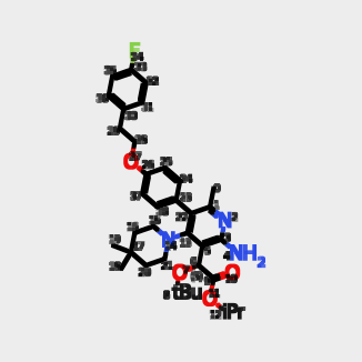 Cc1nc(N)c([C@H](OC(C)(C)C)C(=O)OC(C)C)c(N2CCC(C)(C)CC2)c1-c1ccc(OCCc2ccc(F)cc2)cc1